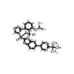 CC(C)(O)c1ncc(-c2ccc3nc4n(c3c2)[C@H]2C[C@H]4n3cnnc3-c3cccc(OC(F)F)c32)cn1